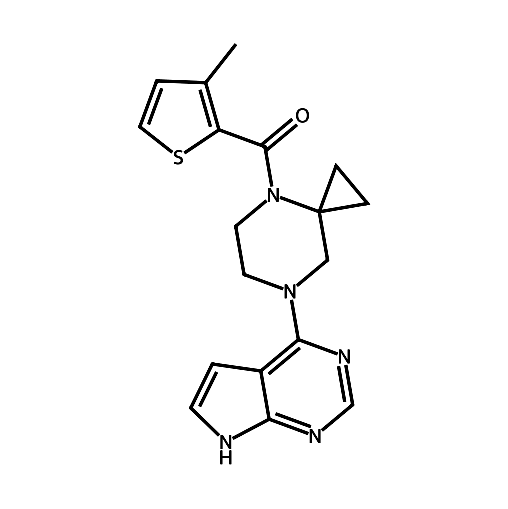 Cc1ccsc1C(=O)N1CCN(c2ncnc3[nH]ccc23)CC12CC2